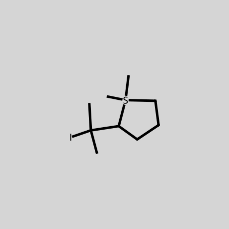 CC(C)(I)C1CCCS1(C)C